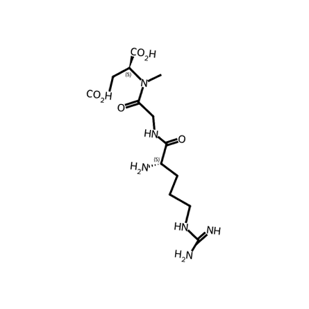 CN(C(=O)CNC(=O)[C@@H](N)CCCNC(=N)N)[C@@H](CC(=O)O)C(=O)O